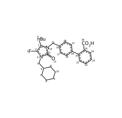 CCCCc1c(F)n(CC2CCCCC2)c(=O)n1Cc1ccc(-c2ccccc2C(=O)O)cc1